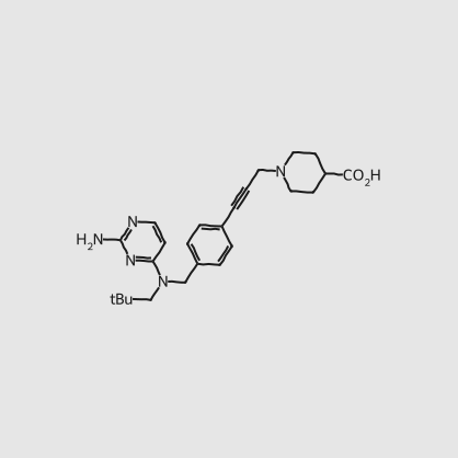 CC(C)(C)CN(Cc1ccc(C#CCN2CCC(C(=O)O)CC2)cc1)c1ccnc(N)n1